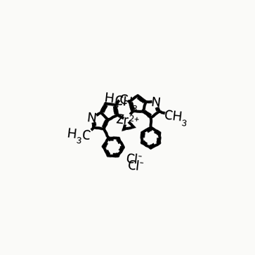 CC1=NC2=CC(C)=[C]([Zr+2]3([C]4=C(C)C=C5N=C(C)C(c6ccccc6)=C54)[CH2][CH2]3)C2=C1c1ccccc1.[Cl-].[Cl-]